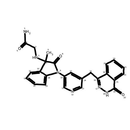 CC1(NCC(N)=O)C(=O)N(c2cncc(Cc3n[nH]c(=O)c4ccccc34)c2)c2ccccc21